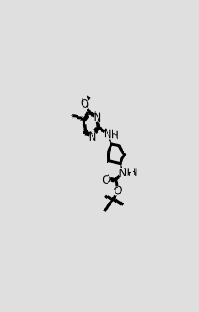 COc1nc(N[C@H]2CC[C@@H](NC(=O)OC(C)(C)C)CC2)ncc1C